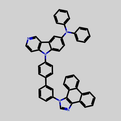 c1ccc(N(c2ccccc2)c2ccc3c(c2)c2cnccc2n3-c2ccc(-c3cccc(-n4cnc5c6ccccc6c6ccccc6c54)c3)cc2)cc1